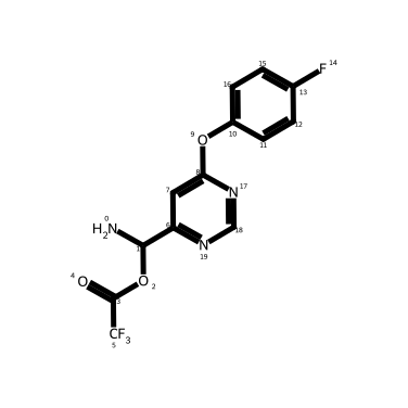 NC(OC(=O)C(F)(F)F)c1cc(Oc2ccc(F)cc2)ncn1